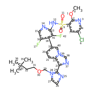 COc1ncc(Cl)cc1S(=O)(=O)Nc1ncc(F)c(-c2ccc3c(-c4nccn4COCC[Si](C)(C)C)ncn3c2)c1F